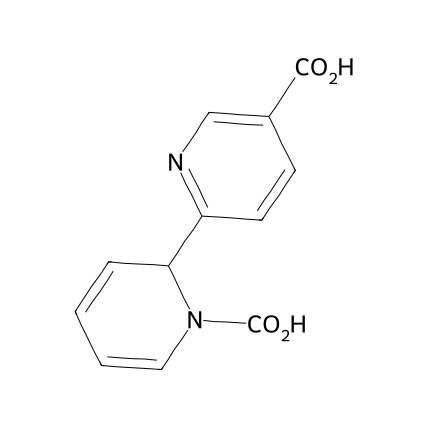 O=C(O)c1ccc(C2C=CC=CN2C(=O)O)nc1